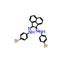 Brc1ccc(N/N=C2\C(=N\Nc3ccc(Br)cc3)c3cccc4cccc2c34)cc1